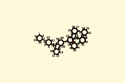 c1ccc(-c2ccc(-n3c4ccccc4c4cc(-c5ccc6c(c5)c5cccc(-c7ccccc7)c5n6-c5ccccc5-c5ccccc5)ccc43)cc2)cc1